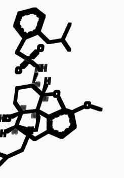 COc1ccc2c3c1O[C@H]1[C@@H](NS(=O)(=O)Cc4ccccc4CC(C)C)CC[C@@]4(O)[C@@H](C2)N(CC2CC2)CC[C@]314